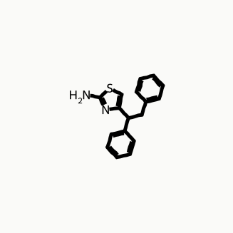 Nc1nc(C(Cc2ccccc2)c2ccccc2)cs1